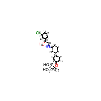 CCC(Oc1ccc(C2CCCC(NCC(O)c3cccc(Cl)c3)C2)cc1)(C(=O)O)C(=O)O